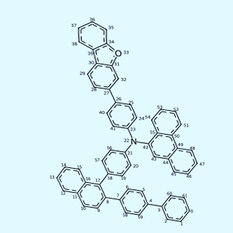 c1ccc(-c2ccc(-c3ccc4ccccc4c3-c3ccc(N(c4ccc(-c5ccc6c(c5)oc5ccccc56)cc4)c4cc5ccccc5c5ccccc45)cc3)cc2)cc1